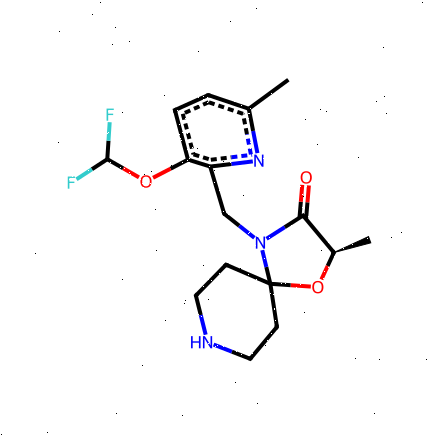 Cc1ccc(OC(F)F)c(CN2C(=O)[C@@H](C)OC23CCNCC3)n1